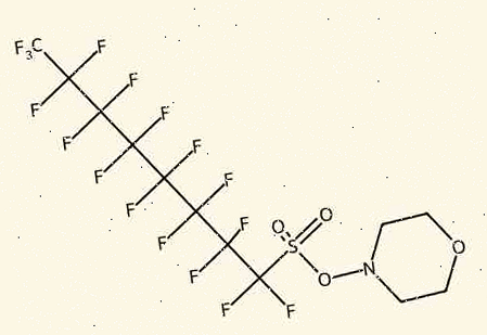 O=S(=O)(ON1CCOCC1)C(F)(F)C(F)(F)C(F)(F)C(F)(F)C(F)(F)C(F)(F)C(F)(F)C(F)(F)F